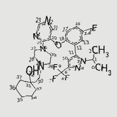 CC(C)n1nc(C(F)(F)F)cc1-c1cc(F)ccc1Oc1cncnc1N1CCN(CC2(O)CCCCC2)CC1